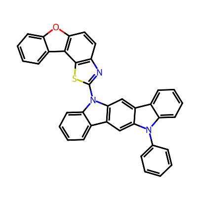 c1ccc(-n2c3ccccc3c3cc4c(cc32)c2ccccc2n4-c2nc3ccc4oc5ccccc5c4c3s2)cc1